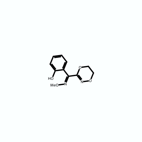 CON=C(C1=NOCCO1)c1ccccc1O